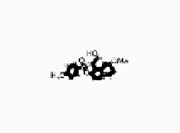 COc1ccc2ccc(OS(=O)(=O)c3ccc(C)cc3)c(CCO)c2c1